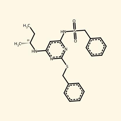 CC[C@@H](C)Nc1cc(NS(=O)(=O)Cc2ccccc2)nc(SCc2ccccc2)n1